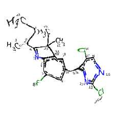 CC[C@@H](C)C1=Nc2c(F)cc(-c3nc(Cl)ncc3Cl)cc2C1(C)C